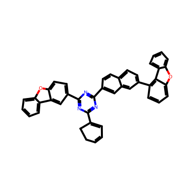 C1=CCCC(c2nc(-c3ccc4ccc(-c5cccc6oc7ccccc7c56)cc4c3)nc(-c3ccc4oc5ccccc5c4c3)n2)=C1